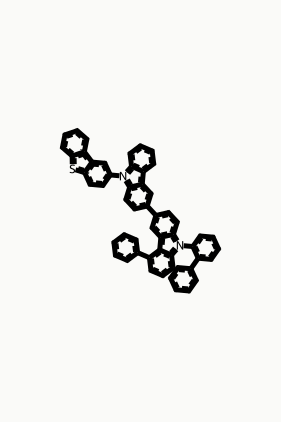 c1ccc(-c2ccccc2-n2c3ccc(-c4ccc5c(c4)c4ccccc4n5-c4ccc5sc6ccccc6c5c4)cc3c3c(-c4ccccc4)cccc32)cc1